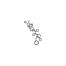 Cc1noc(CNC(=O)C(=O)[C@H]2CCC(=O)N2Cc2ccccc2)n1